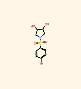 O=S(=O)(c1ccc(Br)cc1)N1CC(O)C(O)C1